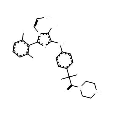 CN/C=C\n1c(-c2c(F)cccc2F)nc(Nc2ccc(C(C)(C)C(=O)N3CCNCC3)cc2)c1C=O